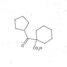 O=C(O)C1(C(=O)C2CCCC2)CCCCC1